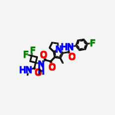 CNC(=O)C1(NC(=O)C(=O)c2c(C)c(C(=O)Nc3ccc(F)cc3)n3c2CCC3)CC(F)(F)C1